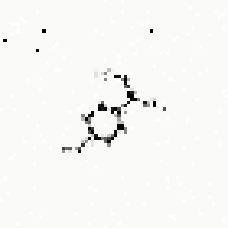 C/N=C(/C)c1ccc(N)cc1